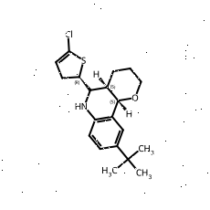 CC(C)(C)c1ccc2c(c1)[C@H]1OCCC[C@H]1C([C@H]1CC=C(Cl)S1)N2